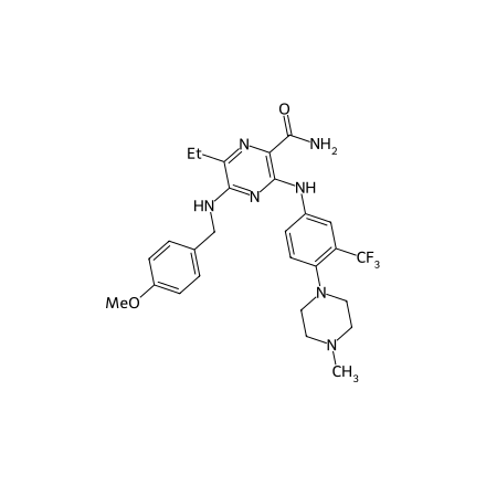 CCc1nc(C(N)=O)c(Nc2ccc(N3CCN(C)CC3)c(C(F)(F)F)c2)nc1NCc1ccc(OC)cc1